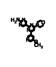 COc1cncc(-c2cc(N3CCOCC3)nc(-c3cnc(N)nc3)n2)c1